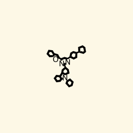 c1ccc(-c2ccc(-c3cc(-c4cc5ccccc5o4)nc(-c4ccc5c(c4)c4ccccc4n5-c4ccccc4)n3)cc2)cc1